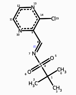 CC(C)(C)S(=O)(=O)/N=C/c1nccnc1Cl